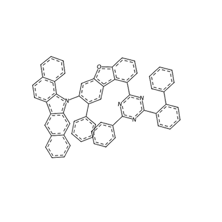 c1ccc(-c2nc(-c3ccccc3-c3ccccc3)nc(-c3cccc4oc5cc(-n6c7cc8ccccc8cc7c7ccc8ccccc8c76)c(-c6ccccc6)cc5c34)n2)cc1